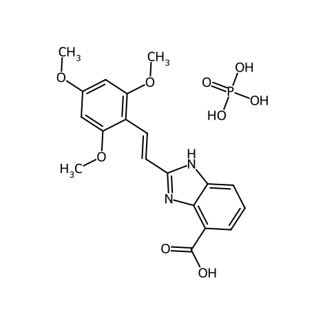 COc1cc(OC)c(/C=C/c2nc3c(C(=O)O)cccc3[nH]2)c(OC)c1.O=P(O)(O)O